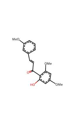 COc1cccc(/C=C/C(=O)c2c(O)cc(OC)cc2OC)c1